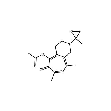 CC(=O)Oc1c2c(c(C)cc(C)c1=O)CC(C1(C)CO1)CC2